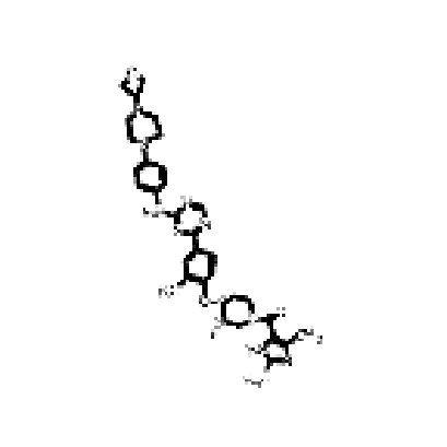 Cc1nc(C)c(C(=O)N2CC[C@H](Oc3ccc(-c4ncnc(Nc5ccc(N6CCN(C7COC7)CC6)cc5)n4)cc3C#N)[C@@H](F)C2)[nH]1